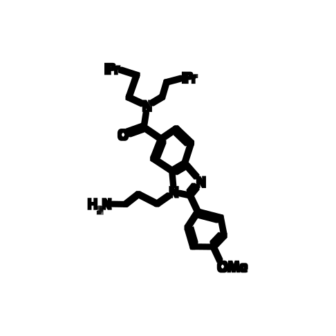 COc1ccc(-c2nc3ccc(C(=O)N(CCC(C)C)CCC(C)C)cc3n2CCCN)cc1